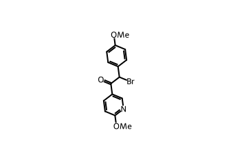 COc1ccc(C(Br)C(=O)c2ccc(OC)nc2)cc1